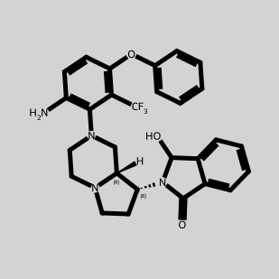 Nc1ccc(Oc2ccccc2)c(C(F)(F)F)c1N1CCN2CC[C@@H](N3C(=O)c4ccccc4C3O)[C@H]2C1